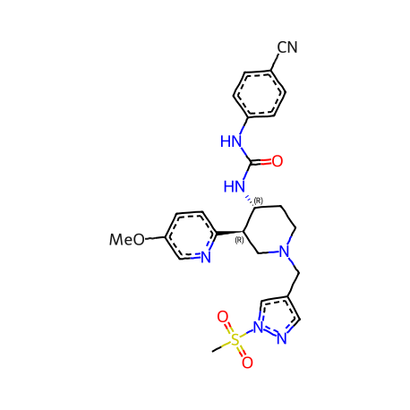 COc1ccc([C@@H]2CN(Cc3cnn(S(C)(=O)=O)c3)CC[C@H]2NC(=O)Nc2ccc(C#N)cc2)nc1